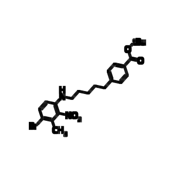 Cc1c(Br)ccc(NCCCCCc2ccc(C(=O)OC(C)(C)C)cc2)c1[N+](=O)[O-]